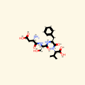 CC(C)[C@H](NC(=O)[C@H](Cc1ccccc1)NC(=O)[C@H](CO)NC(=O)[C@@H](N)CC(=O)O)C(=O)O